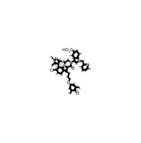 Cc1cc(OCCCc2c3n(c4c(-c5c(C)nn(C)c5C)c(Cl)ccc24)C(C)CN(c2cn(Cc4ccccn4)c4ccc(C(=O)O)cc24)C3=O)cc(C)c1Cl